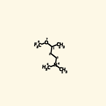 CC(CCN(C)C)OC(F)(F)F